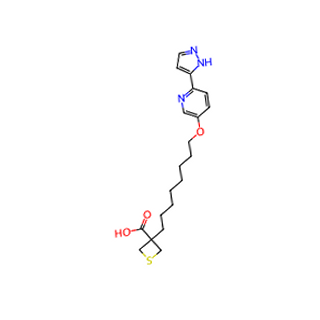 O=C(O)C1(CCCCCCCCOc2ccc(-c3ccn[nH]3)nc2)CSC1